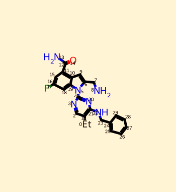 CCc1cnc(-n2c(CN)cc3c(C(N)=O)cc(F)cc32)nc1NCc1ccccc1